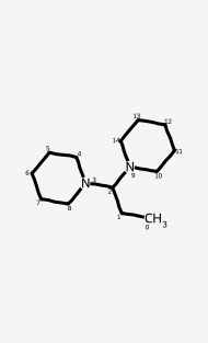 CCC(N1CCCCC1)N1CCCCC1